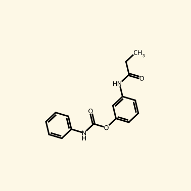 CCC(=O)Nc1cccc(OC(=O)Nc2ccccc2)c1